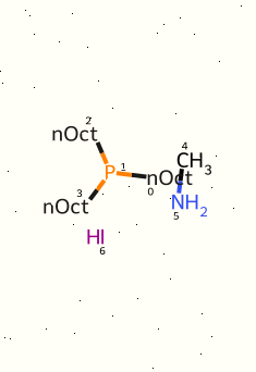 CCCCCCCCP(CCCCCCCC)CCCCCCCC.CN.I